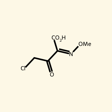 CO/N=C(\C(=O)O)C(=O)CCl